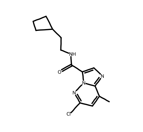 Cc1cc(Cl)nn2c(C(=O)NCCC3CCC3)cnc12